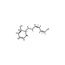 C/C=C\C=C/CCC1CC=CC=C1C